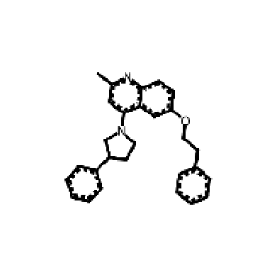 Cc1cc(N2CCC(c3ccccc3)C2)c2cc(OCCc3ccccc3)ccc2n1